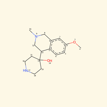 COc1ccc2c(c1)CN(C)CC2C1(O)CCNCC1